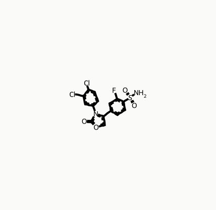 NS(=O)(=O)c1ccc(-c2coc(=O)n2-c2ccc(Cl)c(Cl)c2)cc1F